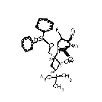 CC(C)(C)[C@@H]1C[C@@](CO[SiH](c2ccccc2)c2ccccc2)(n2cc(F)c(=O)[nH]c2=O)[C@@H]1O